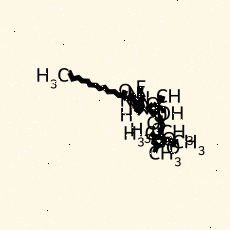 C#C[C@]1(CO)O[C@@H](n2cnc3c(NC(=O)CCCCCCCCCCCCC)nc(F)nc32)C[C@@H]1OC(=O)CC(C)(C)c1c(C)cc(C)cc1OC(C)=O